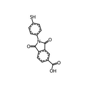 O=C(O)c1ccc2c(c1)C(=O)N(c1ccc(S)cc1)C2=O